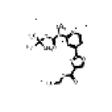 CCOC(=O)c1coc(-c2ccnc(N(C)C(=O)OC(C)(C)C)c2)n1